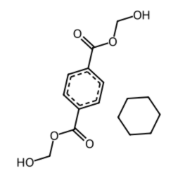 C1CCCCC1.O=C(OCO)c1ccc(C(=O)OCO)cc1